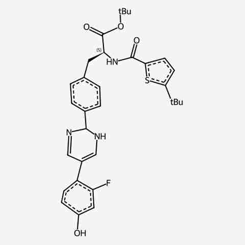 CC(C)(C)OC(=O)[C@H](Cc1ccc(C2N=CC(c3ccc(O)cc3F)=CN2)cc1)NC(=O)c1ccc(C(C)(C)C)s1